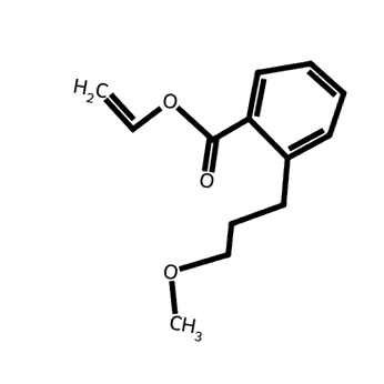 C=COC(=O)c1ccccc1CCCOC